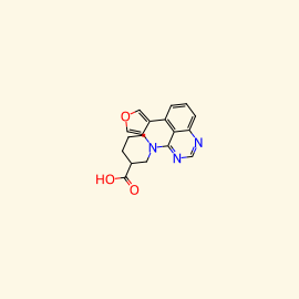 O=C(O)C1CCCN(c2ncnc3cccc(-c4ccoc4)c23)C1